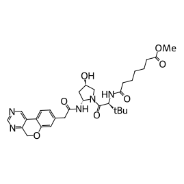 COC(=O)CCCCCC(=O)N[C@H](C(=O)N1C[C@H](O)C[C@H]1NC(=O)Cc1ccc2c(c1)OCc1ncncc1-2)C(C)(C)C